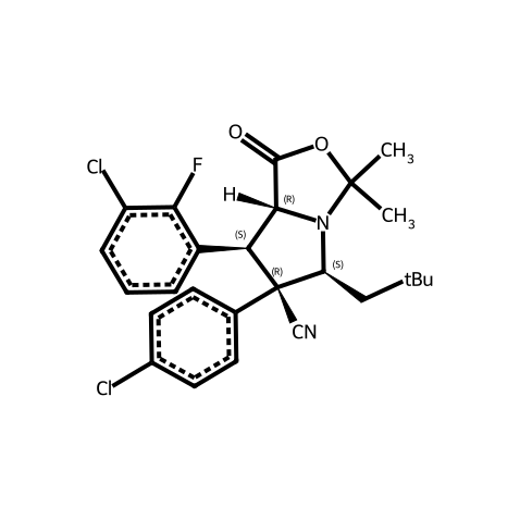 CC(C)(C)C[C@@H]1N2[C@@H](C(=O)OC2(C)C)[C@H](c2cccc(Cl)c2F)[C@@]1(C#N)c1ccc(Cl)cc1